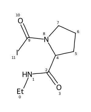 CCNC(=O)C1CCCN1C(=O)I